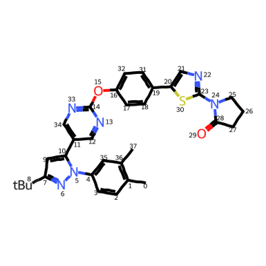 Cc1ccc(-n2nc(C(C)(C)C)cc2-c2cnc(Oc3ccc(-c4cnc(N5CCCC5=O)s4)cc3)nc2)cc1C